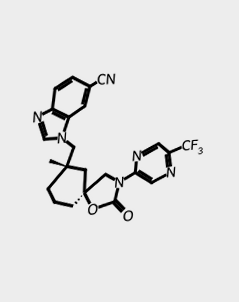 C[C@]1(Cn2cnc3ccc(C#N)cc32)CCC[C@@]2(CN(c3cnc(C(F)(F)F)cn3)C(=O)O2)C1